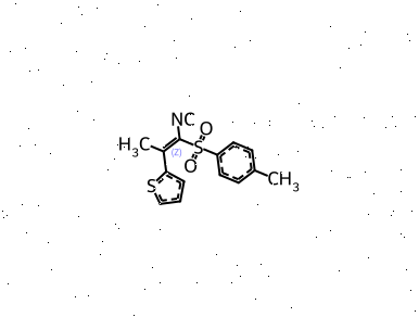 [C-]#[N+]/C(=C(\C)c1cccs1)S(=O)(=O)c1ccc(C)cc1